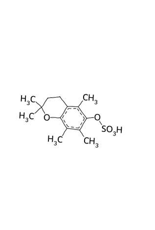 Cc1c(C)c2c(c(C)c1OS(=O)(=O)O)CCC(C)(C)O2